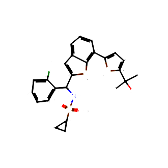 CC(C)(O)c1ccc(-c2cccc3cc(C(NS(=O)(=O)C4CC4)c4ccccc4Cl)sc23)s1